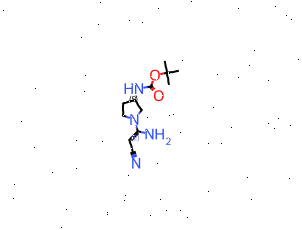 CC(C)(C)OC(=O)N[C@H]1CCN(/C(N)=C/C#N)C1